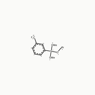 CO[Si](OC)(OC(C)C)c1cccc(C(F)(F)F)c1